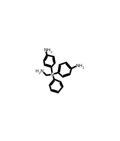 NC[Si](c1ccccc1)(c1ccc(N)cc1)c1ccc(N)cc1